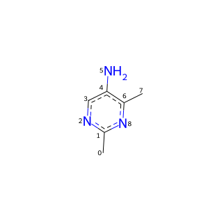 Cc1ncc(N)c(C)n1